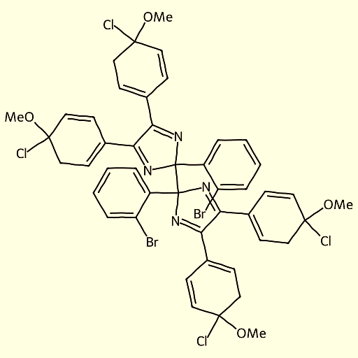 COC1(Cl)C=CC(C2=NC(c3ccccc3Br)(C3(c4ccccc4Br)N=C(C4=CCC(Cl)(OC)C=C4)C(C4=CCC(Cl)(OC)C=C4)=N3)N=C2C2=CCC(Cl)(OC)C=C2)=CC1